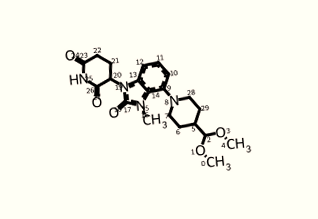 COC(OC)C1CCN(c2cccc3c2n(C)c(=O)n3C2CCC(=O)NC2=O)CC1